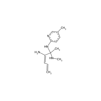 C=C/C=C(/N)C(C)(NC)Nc1ccc(C)cn1